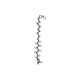 CCCCCCCCCCCCCCCCC[CH]N1CC1